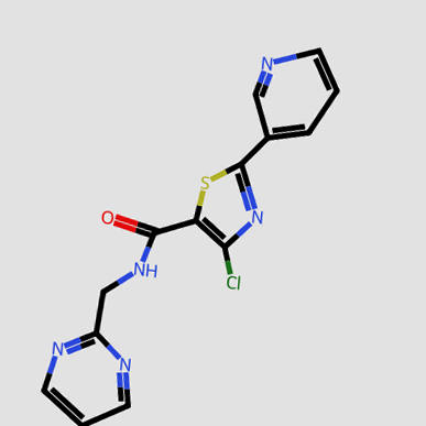 O=C(NCc1ncccn1)c1sc(-c2cccnc2)nc1Cl